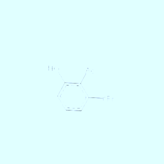 CCCc1cccc(O)c1C(C)=O